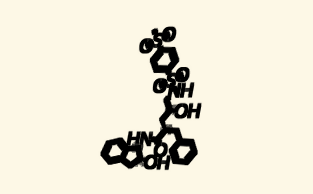 CS(=O)(=O)c1ccc(S(=O)(=O)NC[C@@H](O)C[C@@H](Cc2ccccc2)C(=O)N[C@H]2c3ccccc3C[C@H]2O)cc1